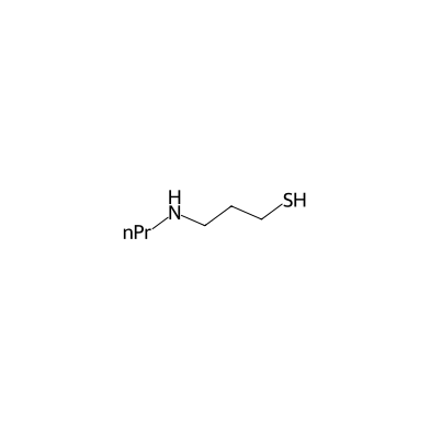 CCCNCCCS